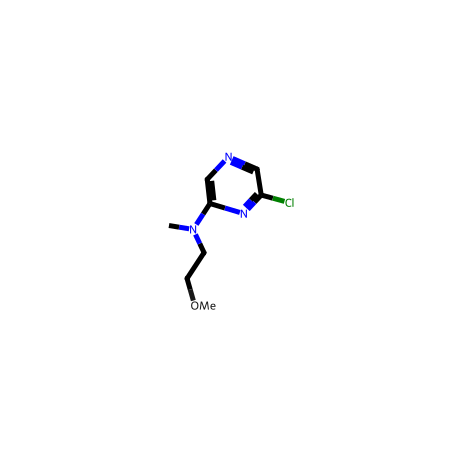 COCCN(C)c1cncc(Cl)n1